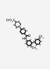 CCOC(=O)C1CCN(c2ccc(C(=O)Nc3ccc(C)c(-c4cccc(C(F)(F)F)c4)c3)cn2)CC1